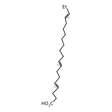 CC/C=C/CCCCCCC/C=C/CC/C=C/CCC(=O)O